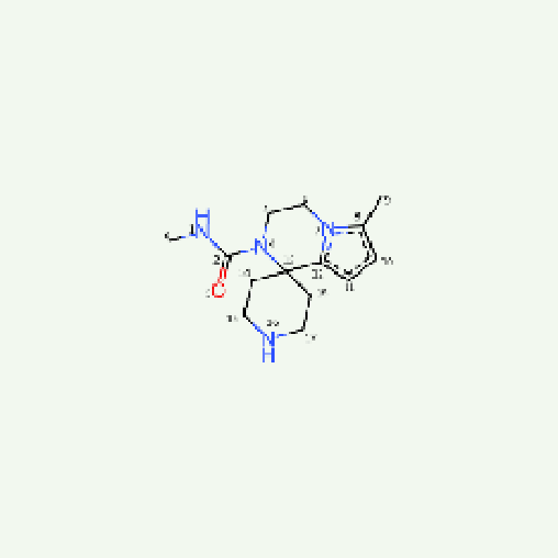 CNC(=O)N1CCn2c(C)ccc2C12CCNCC2